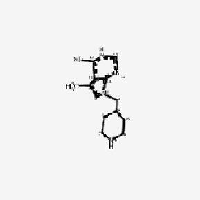 Cc1cn(CC2CCNCC2)c2ncnc(F)c12